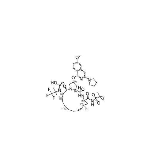 COc1ccc2c(O[C@@H]3C[C@H]4C(=O)N[C@]5(C(=O)NS(=O)(=O)C6(C)CC6)C[C@H]5C=CCC[C@H](C)C[C@@H](C)[C@H](N(C(=O)O)C(C)(C)C(F)(F)F)C(=O)N4C3)nc(N3CCCC3)cc2c1